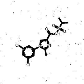 Cc1nc(C(=O)NS(=O)(=O)C(C)C)cn1-c1cc(Cl)cc(Cl)c1